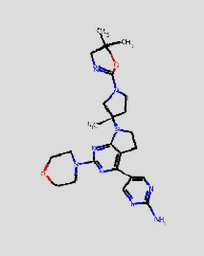 CC1(C)CN=C(N2CC[C@](C)(N3CCc4c(-c5cnc(N)nc5)nc(N5CCOCC5)nc43)C2)O1